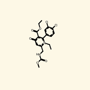 CCOC(=O)c1c(-c2ccc(Cl)c(Cl)c2)n(CC)c(CNC(=O)OC)cc1=O